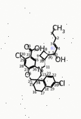 CCC/C=C/[C@H](O)[C@@H]1CC[C@H]1CN1C[C@@]2(CCCc3cc(Cl)ccc32)COc2cc(Cl)c(C(=O)O)cc21